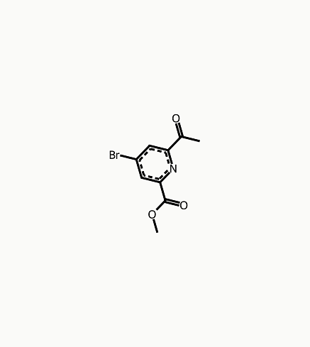 COC(=O)c1cc(Br)cc(C(C)=O)n1